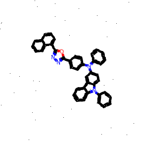 c1ccc(N(c2ccc(-c3nnc(-c4cccc5ccccc45)o3)cc2)c2ccc3c(c2)c2ccccc2n3-c2ccccc2)cc1